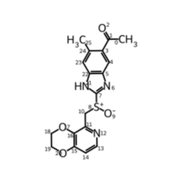 CC(=O)c1cc2nc([S+]([O-])Cc3nccc4c3OCCO4)[nH]c2cc1C